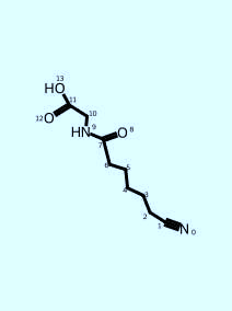 N#CCCCCCC(=O)NCC(=O)O